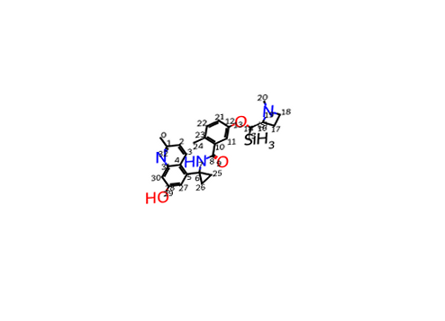 Cc1ccc2c(C3(NC(=O)c4cc(OC([SiH3])[C@@H]5CCN5C)ccc4C)CC3)cc(O)cc2n1